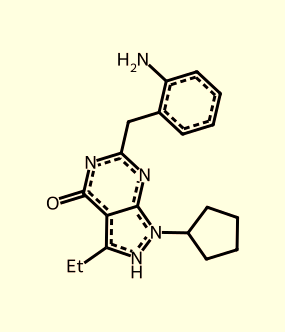 CCc1[nH]n(C2CCCC2)c2nc(Cc3ccccc3N)nc(=O)c1-2